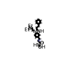 CCN(CC)CCN1c2ccc(/C=C/C(=O)NO)cc2NC1CCc1ccccc1